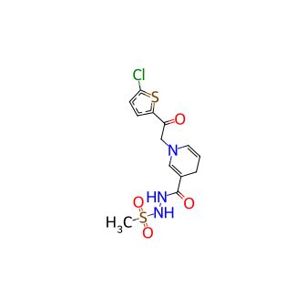 CS(=O)(=O)NNC(=O)C1=CN(CC(=O)c2ccc(Cl)s2)C=CC1